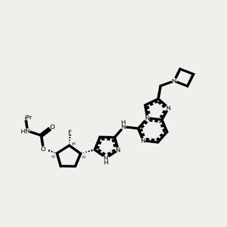 CC(C)NC(=O)O[C@H]1CC[C@@H](c2cc(Nc3nccc4nc(CN5CCC5)cn34)n[nH]2)[C@H]1F